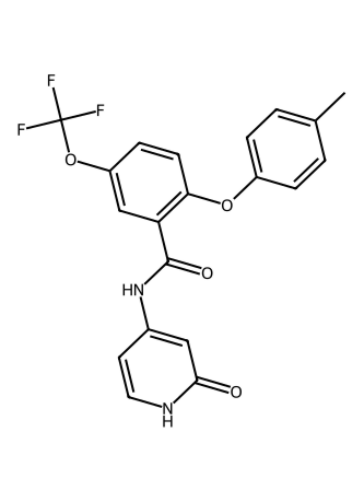 Cc1ccc(Oc2ccc(OC(F)(F)F)cc2C(=O)Nc2cc[nH]c(=O)c2)cc1